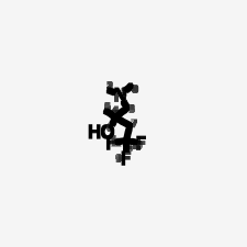 CN(C)CC(C)(O)CC(F)(F)F